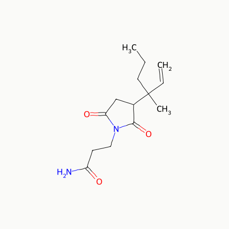 C=CC(C)(CCC)C1CC(=O)N(CCC(N)=O)C1=O